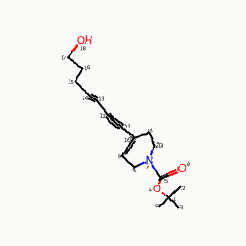 CC(C)(C)OC(=O)N1CC=C(C#CC#CCCCO)CC1